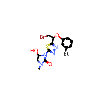 CCc1cccc(OC(CBr)c2nnc(N3C(=O)N(C)CC3O)s2)c1